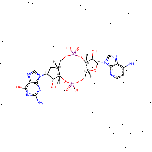 Nc1nc2c(ncn2[C@@H]2C[C@@H]3COP(=O)(O)O[C@@H]4C(O)[C@H](n5cnc6c(N)ccnc65)O[C@@H]4COP(=O)(O)O[C@@H]3C2O)c(=O)[nH]1